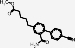 COC(=O)CCCCc1ccc(-c2ccc(C#N)cc2)c(C(N)=O)c1